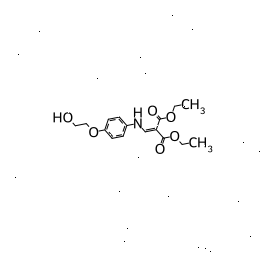 CCOC(=O)C(=CNc1ccc(OCCO)cc1)C(=O)OCC